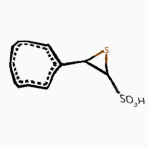 O=S(=O)(O)C1SC1c1ccccc1